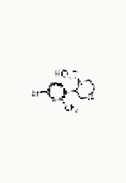 O=C(O)N1CCOCC1c1ccc(Br)cc1C(F)(F)F